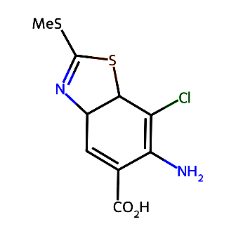 CSC1=NC2C=C(C(=O)O)C(N)=C(Cl)C2S1